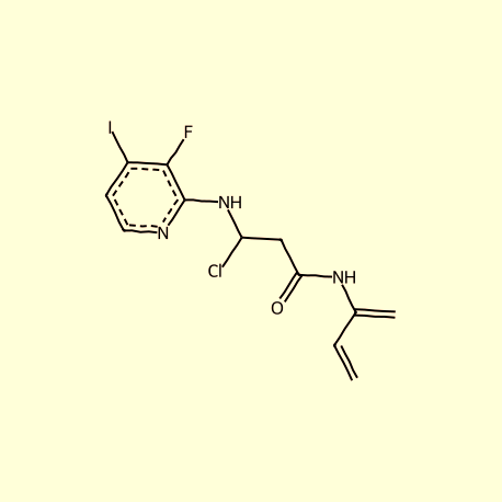 C=CC(=C)NC(=O)CC(Cl)Nc1nccc(I)c1F